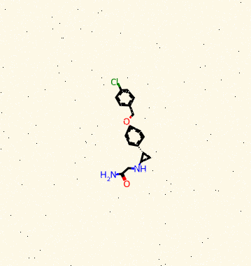 NC(=O)CN[C@@H]1C[C@H]1c1ccc(OCc2ccc(Cl)cc2)cc1